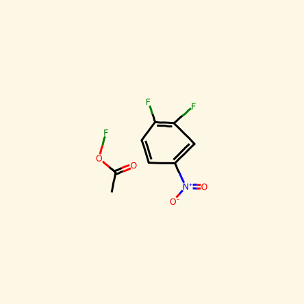 CC(=O)OF.O=[N+]([O-])c1ccc(F)c(F)c1